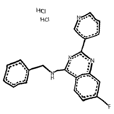 Cl.Cl.Fc1ccc2c(NCc3ccccc3)nc(-c3cccnc3)nc2c1